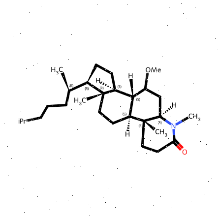 COC1C[C@H]2N(C)C(=O)CC[C@]2(C)[C@H]2CC[C@]3(C)[C@@H]([C@H](C)CCCC(C)C)CC[C@H]3[C@H]12